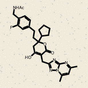 CC(=O)NCc1ccc(CCC2(C3CCCC3)CC(O)=C(Cc3nc4nc(C)cc(C)n4n3)C(=O)O2)cc1F